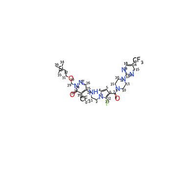 C[C@@H](Cn1ccc(C(=O)N2CCN(c3ncc(C(F)(F)F)cn3)CC2)c1F)Nc1cnn(COCC[Si](C)(C)C)c(=O)c1C(F)(F)F